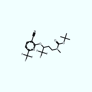 CN(CCC(Oc1nc(C(F)(F)F)ccc1C#N)C(F)(F)F)C(=O)OC(C)(C)C